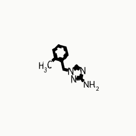 Cc1ccccc1Cn1cnc(N)n1